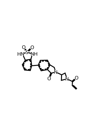 C=CC(=O)N1CC(N2Cc3ccc(-c4cccc5c4NS(=O)(=O)N5)cc3C2=O)C1